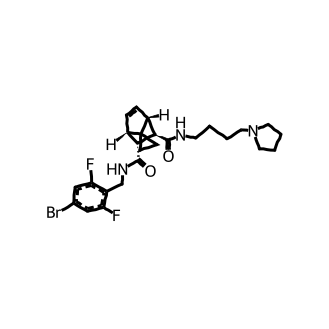 O=C(NCCCCN1CCCC1)[C@H]1[C@H](C(=O)NCc2c(F)cc(Br)cc2F)[C@@H]2C=C[C@H]1C21CC1